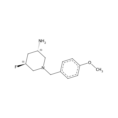 COc1ccc(CN2C[C@@H](N)C[C@H](F)C2)cc1